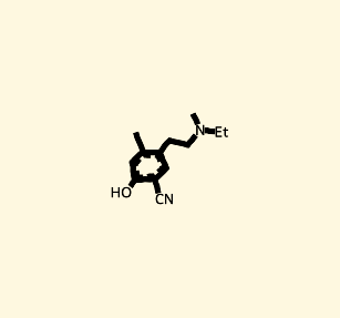 CCN(C)CCc1cc(C#N)c(O)cc1C